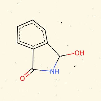 O=C1N[C](O)c2ccccc21